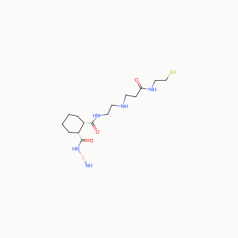 N=BNC(=O)[C@@H]1CCCC[C@@H]1C(=O)NCCNCCC(=O)NCCS